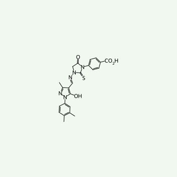 Cc1ccc(-n2nc(C)c(/C=N/N3CC(=O)N(c4ccc(C(=O)O)cc4)C3=S)c2O)cc1C